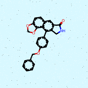 O=C1NCc2c1cc1ccc3c(c1c2-c1ccc(OCc2ccccc2)cc1)OCO3